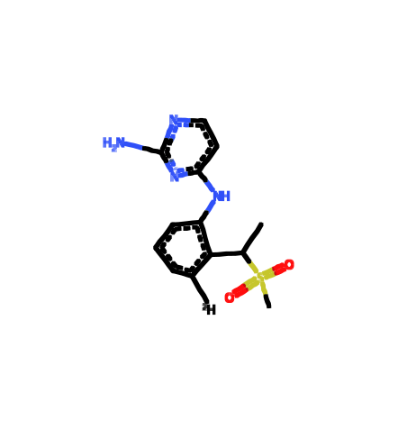 [2H]c1cccc(Nc2ccnc(N)n2)c1C(C)S(C)(=O)=O